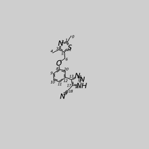 Cc1nc(C)c(COc2cccc(-c3nn[nH]c3C#N)c2)s1